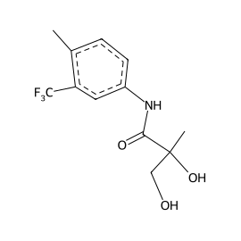 Cc1ccc(NC(=O)C(C)(O)CO)cc1C(F)(F)F